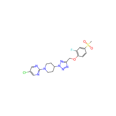 CS(=O)(=O)c1ccc(OCc2nnn(C3CCN(c4ncc(Cl)cn4)CC3)n2)c(F)c1